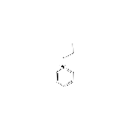 C=C[CH][14c]1ccccc1